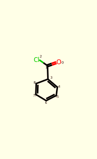 O=C(Cl)c1c[c]c[c]c1